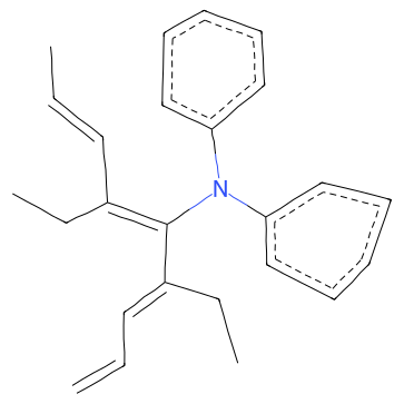 C=C/C=C(CC)/C(=C(/C=C/C)CC)N(c1ccccc1)c1ccccc1